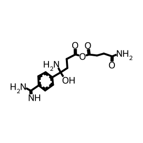 N=C(N)c1ccc(C(N)(O)CCC(=O)OC(=O)CCC(N)=O)cc1